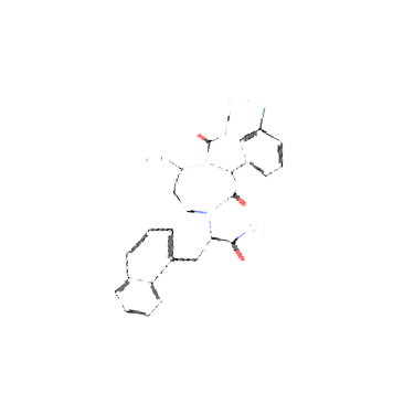 CC(=O)NCC(=O)N1C(C)CCN(C(Cc2cccc3ccccc23)C(N)=O)C(=O)C1c1cccc(Cl)c1